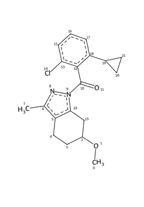 COC1CCc2c(C)nn(C(=O)c3c(Cl)cccc3C3CC3)c2C1